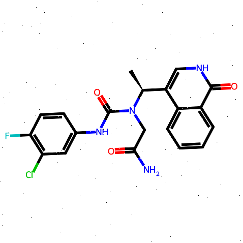 C[C@@H](c1c[nH]c(=O)c2ccccc12)N(CC(N)=O)C(=O)Nc1ccc(F)c(Cl)c1